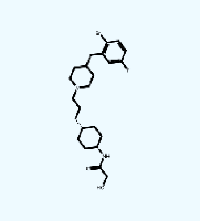 O=C(CO)N[C@H]1CC[C@H](CCCN2CCC(Cc3cc(F)ccc3Br)CC2)CC1